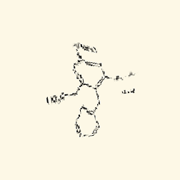 CCCCCc1cc(CCCCC)c(Cc2ccccc2)c(CC(=O)O)c1.[NaH]